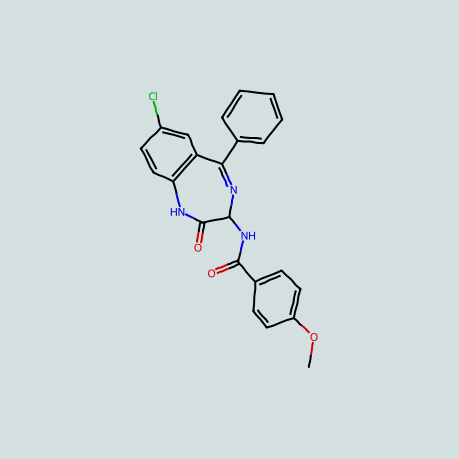 COc1ccc(C(=O)NC2N=C(c3ccccc3)c3cc(Cl)ccc3NC2=O)cc1